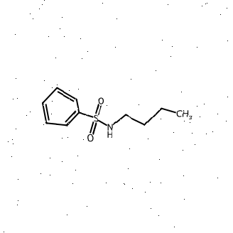 CCCCNS(=O)(=O)c1ccccc1